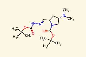 CN(C)[C@H]1C[C@@H](/C=N/NC(=O)OC(C)(C)C)N(C(=O)OC(C)(C)C)C1